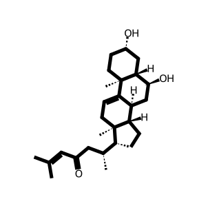 CC(C)=CC(=O)C[C@@H](C)[C@H]1CC[C@H]2[C@@H]3C[C@H](O)[C@H]4C[C@@H](O)CC[C@]4(C)C3=CC[C@]12C